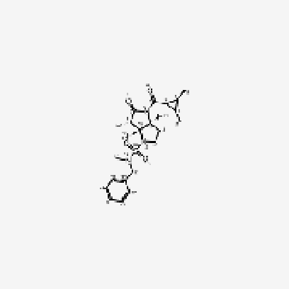 C[C@@H]1C(=O)N(C(=O)C2[C@@H](C)[C@H]2C)[C@H]2CCN(S(=O)(=O)N(C)Cc3ccccc3)[C@H]12